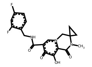 CN1C(=O)c2c(O)c(=O)c(C(=O)NCc3ccc(F)cc3F)cn2CC12CC2